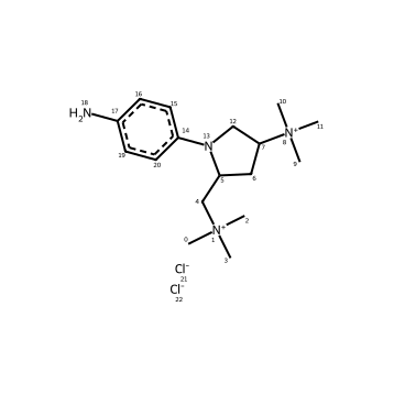 C[N+](C)(C)CC1CC([N+](C)(C)C)CN1c1ccc(N)cc1.[Cl-].[Cl-]